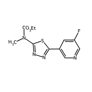 CCOC(=O)N(C)c1nnc(-c2cncc(F)c2)s1